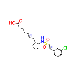 O=C(O)CCC/C=C/CC1CCCC1NS(=O)(=O)/C=C/c1cccc(Cl)c1